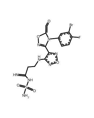 N=C(CCNc1nonc1C1=NOC(=C=O)N1c1ccc(F)c(Br)c1)NS(N)(=O)=O